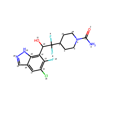 NC(=O)N1CCC(C(F)(F)C(O)c2c(F)c(Cl)cc3cn[nH]c23)CC1